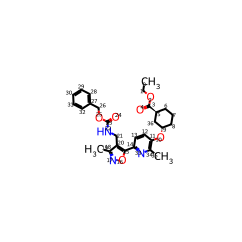 CCOC(=O)[C@H]1CCC[C@H](Oc2ccc(-c3onc(C)c3CNC(=O)OCc3ccccc3)nc2C)C1